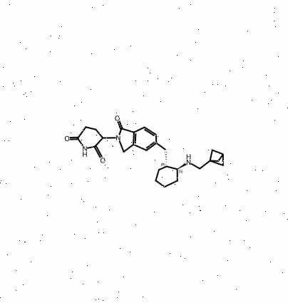 O=C1CCC(N2Cc3cc(C[C@H]4CCCC[C@@H]4NCC45CC(C4)C5)ccc3C2=O)C(=O)N1